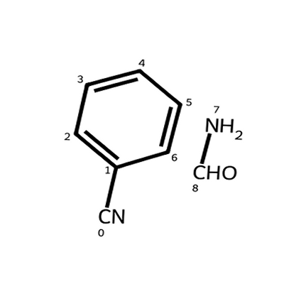 N#Cc1ccccc1.NC=O